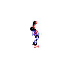 C[C@H]1CN(CCN2CCC(NC(=O)Oc3cc4c(OCc5ccoc5)cccc4[nH]3)CC2)CC[C@@H]1O